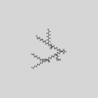 CCCCCCCCC(CCCCCCCC)CNC(=O)CCCCCN(CCO)CCN(CCCCCC(=O)OCC(CCCCCCCC)CCCCCCCC)C1CCC1